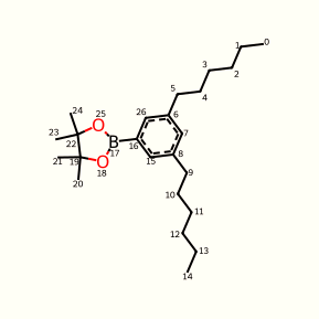 CCCCCCc1cc(CCCCCC)cc(B2OC(C)(C)C(C)(C)O2)c1